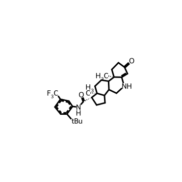 CC(C)(C)c1ccc(C(F)(F)F)cc1NC(=O)[C@H]1CCC2C3CNC4=CC(=O)CC[C@]4(C)C3CC[C@@]21C